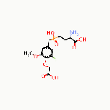 COc1cc(CP(=O)(O)CC[C@H](N)C(=O)O)cc(F)c1OCC(=O)O